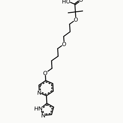 CC(C)(OCCCOCCCCOc1ccc(-c2ccn[nH]2)nc1)C(=O)O